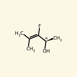 CC(C)=C(F)[C@@H](C)O